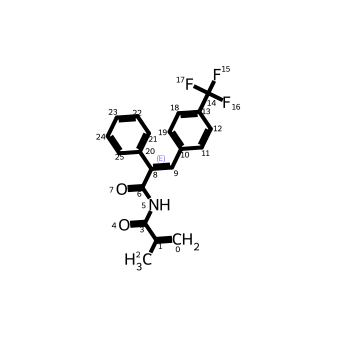 C=C(C)C(=O)NC(=O)/C(=C/c1ccc(C(F)(F)F)cc1)c1ccccc1